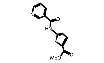 COC(=O)c1ccc(NC(=O)c2cccnc2)s1